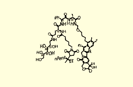 CCCCCC(C)(CC)C1CC(=O)N(CCCCCC(=O)N[C@@H](CCC(=O)NC[C@H](O)[C@@H](O)[C@H](O)[C@H](O)CO)C(=O)N[C@H](C(=O)N[C@@H](C)C(=O)NCOCCCCc2c(C)c(F)cc3nc4c(c(CC)c23)Cn2c-4cc3c(c2=O)COC(=O)[C@]3(O)CC)C(C)C)C1=O